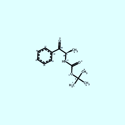 C[C@@H](NC(=O)OC(C)(C)C)C(=O)c1ccccc1